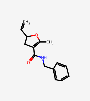 C=CC1CC(C(=O)NCc2ccccc2)=C(C)O1